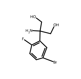 NC(CO)(CO)c1cc(Br)ccc1F